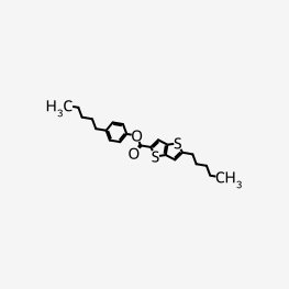 CCCCCc1ccc(OC(=O)c2cc3sc(CCCCC)cc3s2)cc1